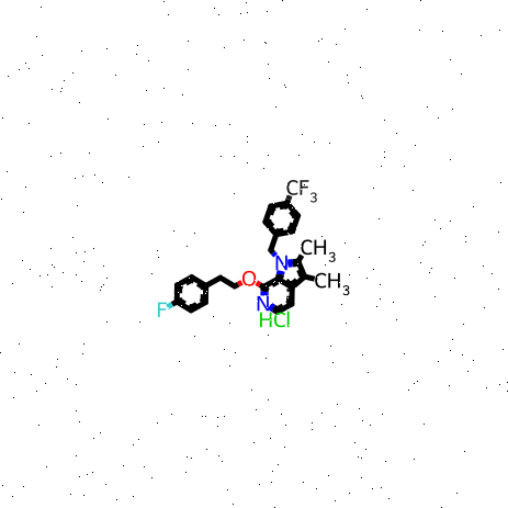 Cc1c(C)n(Cc2ccc(C(F)(F)F)cc2)c2c(OCCc3ccc(F)cc3)nccc12.Cl